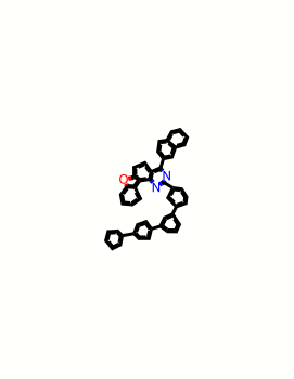 c1ccc(-c2ccc(-c3cccc(-c4cccc(-c5nc(-c6ccc7ccccc7c6)c6ccc7oc8ccccc8c7c6n5)c4)c3)cc2)cc1